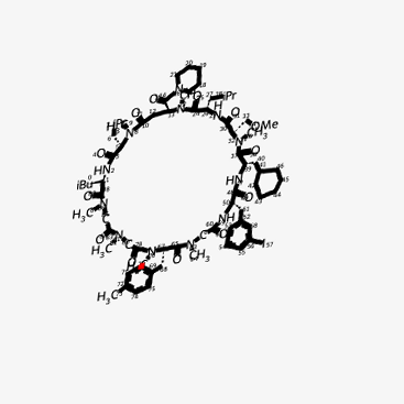 CC[C@H](C)[C@@H]1NC(=O)[C@H](CC(C)C)N(C)C(=O)C[C@@H](C(=O)N2CCCCC2)N(C)C(=O)[C@H](CC(C)C)NC(=O)[C@H](COC)N(C)C(=O)[C@H](CC2CCCCC2)NC(=O)[C@H](Cc2cccc(I)c2)NC(=O)CN(C)C(=O)[C@H](Cc2ccc(C)cc2)N(C)C(=O)CN(C)C(=O)CN(C)C1=O